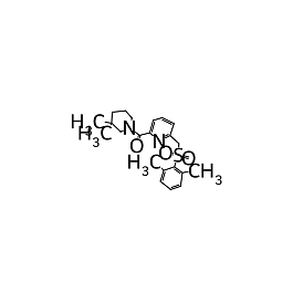 Cc1cccc(C)c1S(=O)(=O)Cc1cccc(C(=O)N2CCCC(C)(C)C2)n1